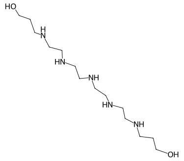 OCCCNCCNCCNCCNCCNCCCO